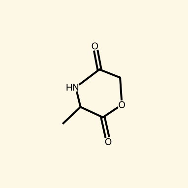 CC1NC(=O)COC1=O